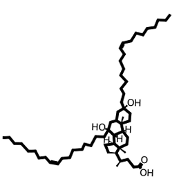 CCCCCCCC/C=C\CCCCCCCC[C@]1(O)CC[C@@]2(C)C(C1)C[C@@](O)(CCCCCCCC/C=C\CCCCCCCC)[C@H]1[C@@H]3CC[C@H]([C@H](C)CCC(=O)O)[C@@]3(C)CC[C@@H]12